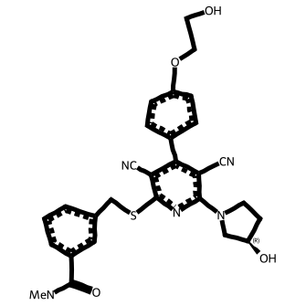 CNC(=O)c1cccc(CSc2nc(N3CC[C@@H](O)C3)c(C#N)c(-c3ccc(OCCO)cc3)c2C#N)c1